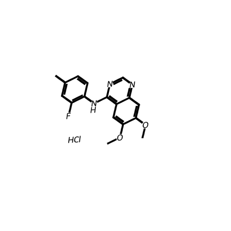 COc1cc2ncnc(Nc3ccc(C)cc3F)c2cc1OC.Cl